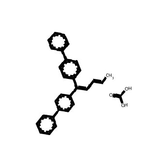 C/C=C/C=C(c1ccc(-c2ccccc2)cc1)c1ccc(-c2ccccc2)cc1.O=C(O)O